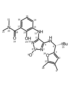 Cc1cc([C@H](Nc2n[s+]([O-])nc2Nc2cccc(C(=O)N(C)C)c2O)C(C)(C)C)oc1C